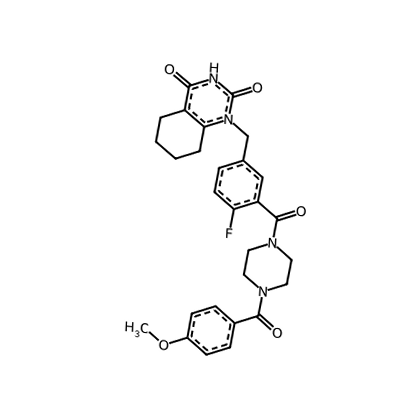 COc1ccc(C(=O)N2CCN(C(=O)c3cc(Cn4c5c(c(=O)[nH]c4=O)CCCC5)ccc3F)CC2)cc1